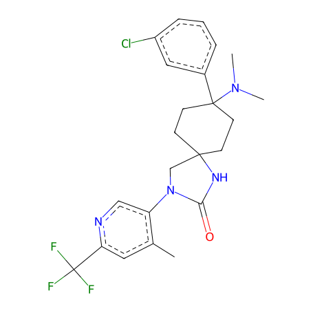 Cc1cc(C(F)(F)F)ncc1N1CC2(CCC(c3cccc(Cl)c3)(N(C)C)CC2)NC1=O